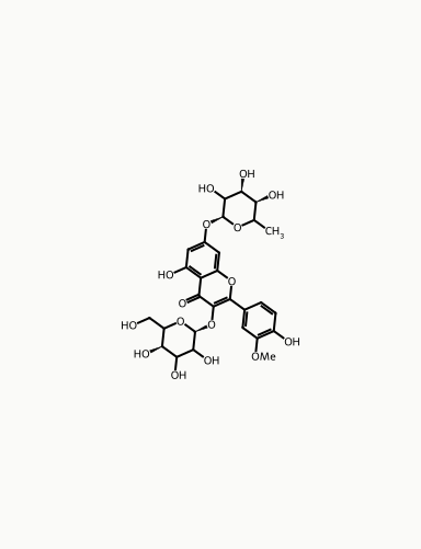 COc1cc(-c2oc3cc(O[C@@H]4OC(C)[C@H](O)[C@H](O)C4O)cc(O)c3c(=O)c2O[C@@H]2OC(CO)[C@H](O)C(O)C2O)ccc1O